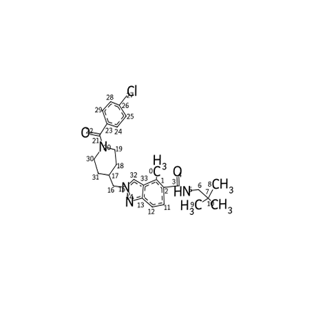 Cc1c(C(=O)NCC(C)(C)C)ccc2nn(CC3CCN(C(=O)c4ccc(Cl)cc4)CC3)cc12